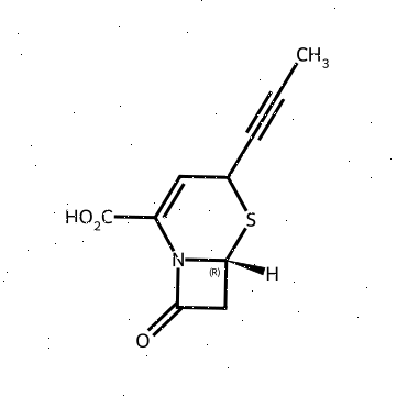 CC#CC1C=C(C(=O)O)N2C(=O)C[C@H]2S1